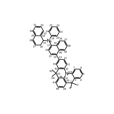 CC1(C)c2ccccc2N2c3ccc(-c4ccc(N(c5ccccc5)C5CC=Cc6ccccc65)c5ccccc45)cc3C(C)(C)c3cccc1c32